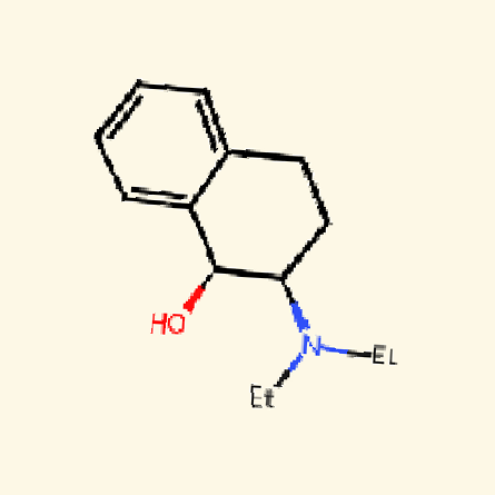 CCN(CC)[C@@H]1CCc2ccccc2[C@@H]1O